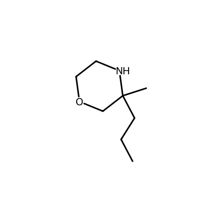 CCCC1(C)COCCN1